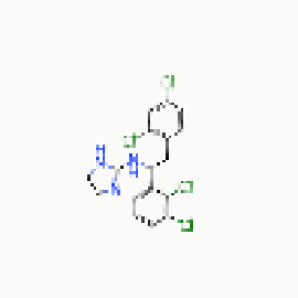 Clc1ccc(CC(NC2=NCCN2)c2cccc(Cl)c2Cl)c(Cl)c1